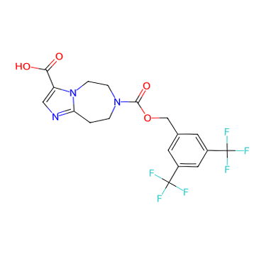 O=C(O)c1cnc2n1CCN(C(=O)OCc1cc(C(F)(F)F)cc(C(F)(F)F)c1)CC2